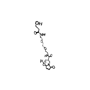 CC(CN1C(=O)C=CC1=O)C(=O)NCCOCCOCCNC(=O)CCO